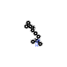 CC1=C(c2cccc(-c3ccc(-c4ccc5c(c4)C(C)(C)C4=CC6c7ccccc7C7(CCCCC7)C6C=C45)cc3)c2)N=C(c2ccccc2)NC1c1ccccc1